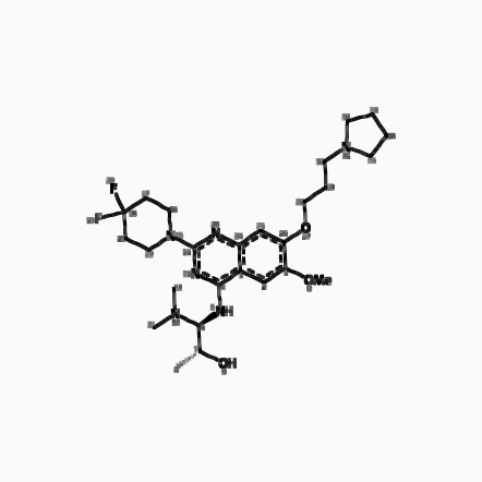 COc1cc2c(N[C@@H]([C@@H](C)O)N(C)C)nc(N3CCC(F)(F)CC3)nc2cc1OCCCN1CCCC1